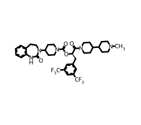 CN1CCC(C2CCN(C(=O)[C@@H](Cc3cc(C(F)(F)F)cc(C(F)(F)F)c3)OC(=O)N3CCC(N4CCc5ccccc5NC4=O)CC3)CC2)CC1